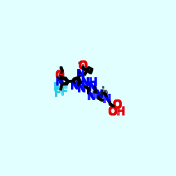 CCOc1cc(-c2cc(N(C)CC3(COC)CCC3)c3[nH]c(-c4cnc(N5CCN(CCC(=O)O)C[C@H]5C)cn4)nc3n2)cc(C(F)(F)F)n1